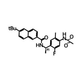 Cc1cc([C@@H](C)NC(=O)c2ccc3cc(C(C)(C)C)ccc3c2)c(F)cc1NS(C)(=O)=O